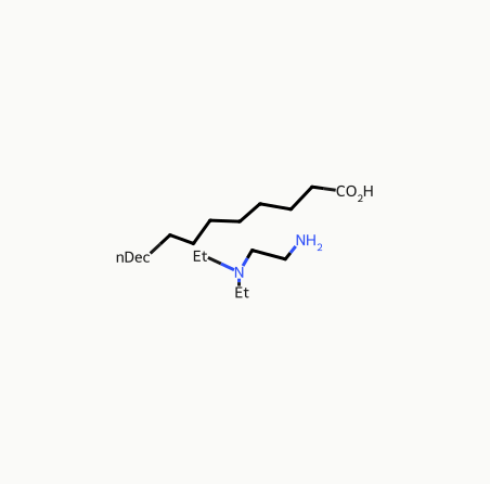 CCCCCCCCCCCCCCCCCC(=O)O.CCN(CC)CCN